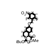 COC(=O)C1c2ccc(OCc3c(F)ccc([N+](=O)[O-])c3F)cc2CCN1C(=O)OCC(C)C